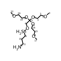 COCCOC(CO[SiH2]CCCN)(OCCOC)OCCOC